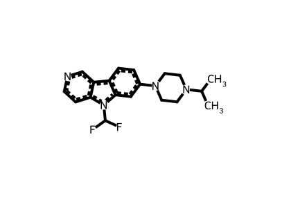 CC(C)N1CCN(c2ccc3c4cnccc4n(C(F)F)c3c2)CC1